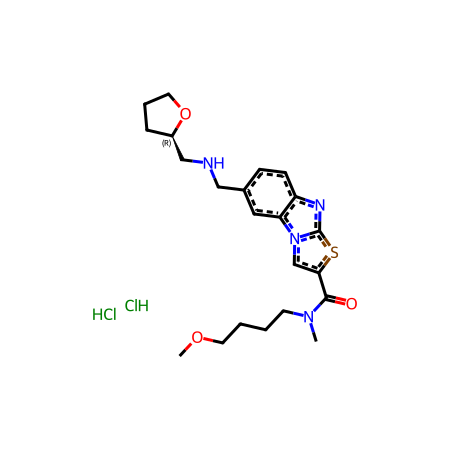 COCCCCN(C)C(=O)c1cn2c(nc3ccc(CNC[C@H]4CCCO4)cc32)s1.Cl.Cl